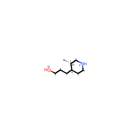 C[C@@H]1CNCCC1CCCO